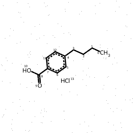 CCCCc1ccc(C(=O)O)cc1.Cl